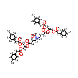 Cc1ccc(CC(=O)OCC(COC(=O)Cc2ccc(C)cc2)OC(=O)CCCN(C=O)CCCC(=O)OC(COC(=O)Cc2ccc(C)cc2)COC(=O)Cc2ccc(C)cc2)cc1